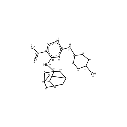 O=[N+]([O-])c1cnc(NC2CCC(O)CC2)nc1NC12CC3CC(CC(C3)C1)C2